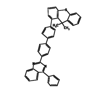 CC1(C)c2ccccc2Sc2cccc(-c3ccc(-c4ccc(-c5nc(-c6ccccc6)c6ccccc6n5)cc4)cc3)c21